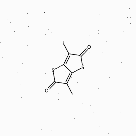 CC1=C2SC(=O)C(I)=C2SC1=O